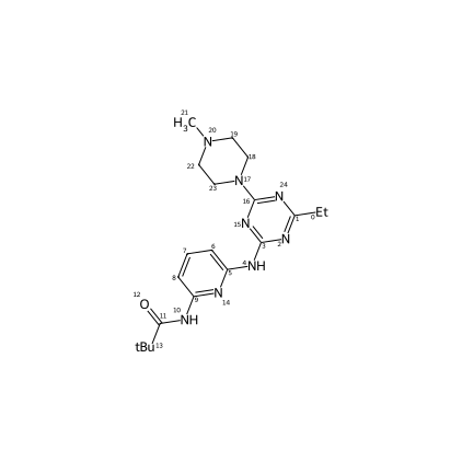 CCc1nc(Nc2cccc(NC(=O)C(C)(C)C)n2)nc(N2CCN(C)CC2)n1